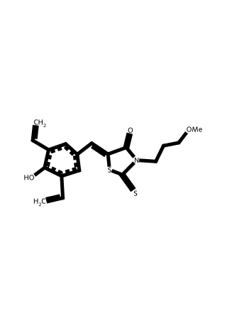 C=Cc1cc(/C=C2\SC(=S)N(CCCOC)C2=O)cc(C=C)c1O